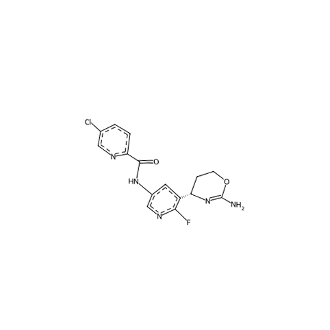 NC1=N[C@H](c2cc(NC(=O)c3ccc(Cl)cn3)cnc2F)CCO1